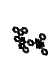 c1ccc(-c2nc(-c3ccccc3)nc(-c3ccc(-c4nc5c(-c6cc7ccccc7c7ccccc67)cccc5c5sc6ccccc6c45)cc3)n2)cc1